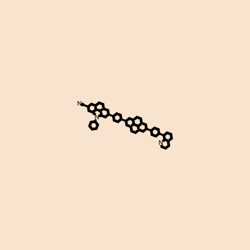 N#Cc1cc2ccc3cc(-c4ccc(-c5cc6ccc7cc(-c8ccc(-c9cccc%10cccnc9%10)cc8)cc8ccc(c5)c6c78)cc4)cc4c3c2c(c1)n4-c1ccccc1